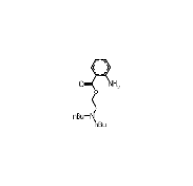 CCCCN(CCCC)CCOC(=O)c1ccccc1N